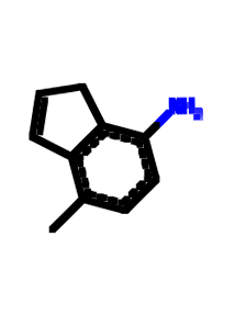 Cc1ccc(N)c2c1C=CC2